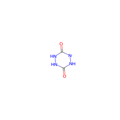 O=C1[N]NC(=O)NN1